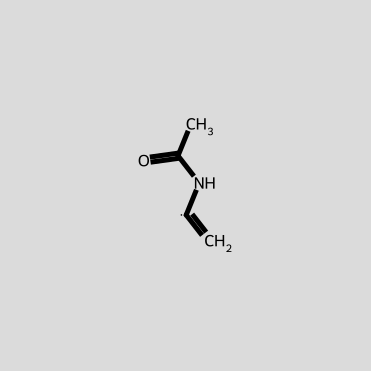 C=[C]NC(C)=O